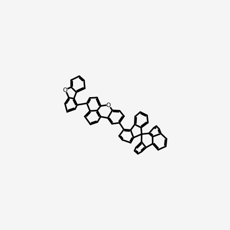 c1ccc2c(c1)-c1c(-c3ccc4c(c3)-c3cccc5c(-c6cccc7oc8ccccc8c67)ccc(c35)O4)cccc1C21c2ccccc2-c2cccc3cccc1c23